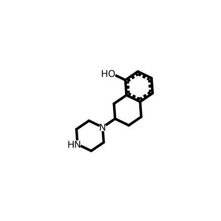 Oc1cccc2c1CC(N1CCNCC1)CC2